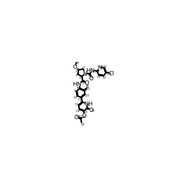 COC1CC(C(=O)Nc2ccc(-c3ccc(OC(C)=O)c(=O)[nH]3)cc2F)N(C(=O)Nc2ccc(Cl)cn2)C1